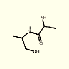 CC(CO)NC(=O)C(C)S